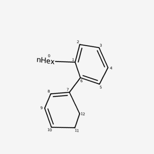 CCCCCCc1ccccc1C1=CC=CCC1